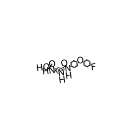 O=C(O)N[C@H]1CN[C@H](C(=O)Nc2ccc(Oc3ccc(F)cc3)cc2)C1